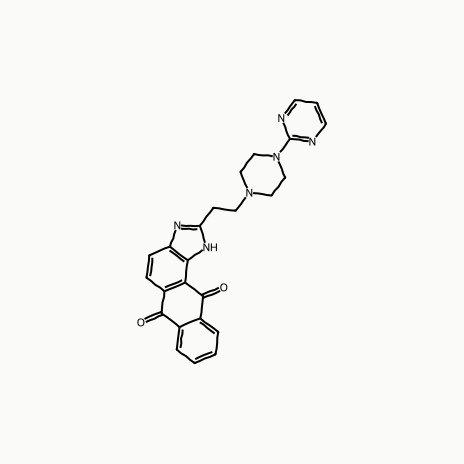 O=C1c2ccccc2C(=O)c2c1ccc1nc(CCN3CCN(c4ncccn4)CC3)[nH]c21